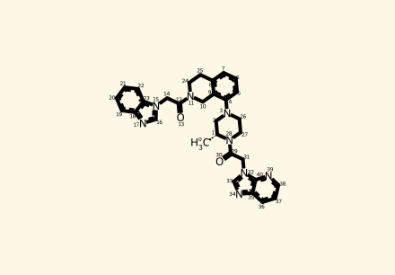 C[C@@H]1CN(c2cccc3c2CN(C(=O)Cn2cnc4ccccc42)CC3)CCN1C(=O)Cn1cnc2cccnc21